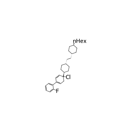 CCCCCC[C@H]1CC[C@H](CC[C@H]2CC[C@H](C3(Cl)C=CC(c4ccccc4F)=CC3)CC2)CC1